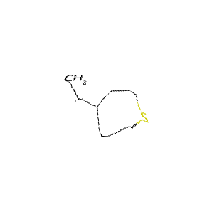 C[CH]C1CCSCC1